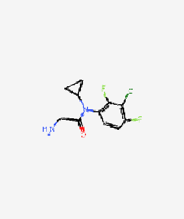 NCC(=O)N(c1ccc(F)c(Cl)c1F)C1CC1